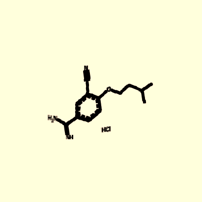 CC(C)CCOc1ccc(C(=N)N)cc1C#N.Cl